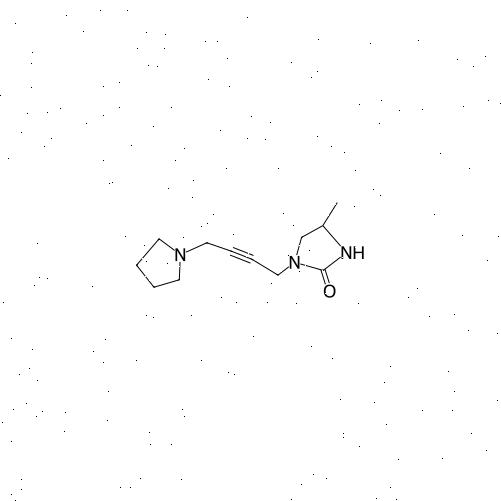 CC1CN(CC#CCN2CCCC2)C(=O)N1